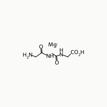 NCC(=O)NCC(=O)NCC(=O)O.[Mg]